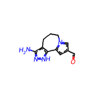 Nc1n[nH]c2c1CCCn1cc(C=O)cc1-2